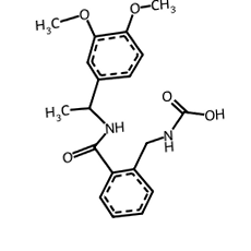 COc1ccc(C(C)NC(=O)c2ccccc2CNC(=O)O)cc1OC